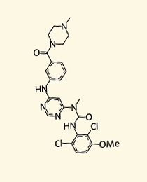 COc1ccc(Cl)c(NC(=O)N(C)c2cc(Nc3cccc(C(=O)N4CCN(C)CC4)c3)ncn2)c1Cl